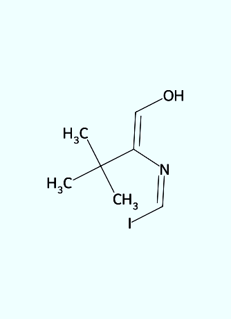 CC(C)(C)C(=C/O)/N=C\I